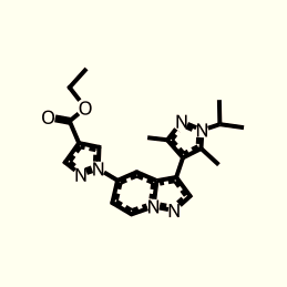 CCOC(=O)c1cnn(-c2ccn3ncc(-c4c(C)nn(C(C)C)c4C)c3c2)c1